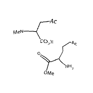 CNC(CC(C)=O)C(=O)O.COC(=O)C(N)CC(C)=O